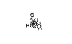 O=P(O)(Oc1ccccc1)OC(Cl)CCCl